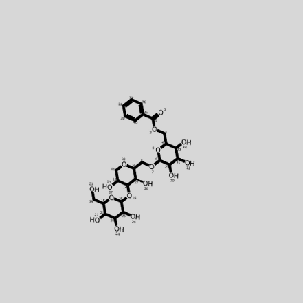 O=C(OCC1OC(OCC2OCC(O)C(OC3OC(CO)C(O)C(O)C3O)[C@@H]2O)C(O)C(O)C1O)c1ccccc1